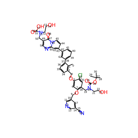 Cc1c(COc2cc(OCc3cncc(C#N)c3)c(CN(CCO)C(=O)OC(C)(C)C)cc2Cl)cccc1-c1cccc(-c2ccn3c(=O)c(CN(CCO)C(=O)O)cnc3c2)c1